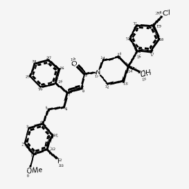 COc1ccc(CC/C(=C/C(=O)N2CCC(O)(c3ccc(Cl)cc3)CC2)c2ccccc2)cc1F